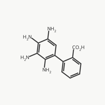 Nc1cc(-c2ccccc2C(=O)O)c(N)c(N)c1N